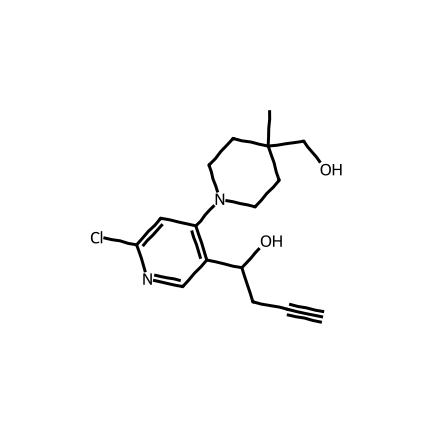 C#CCC(O)c1cnc(Cl)cc1N1CCC(C)(CO)CC1